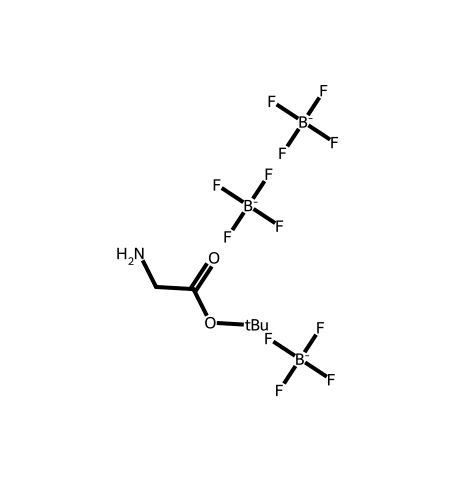 CC(C)(C)OC(=O)CN.F[B-](F)(F)F.F[B-](F)(F)F.F[B-](F)(F)F